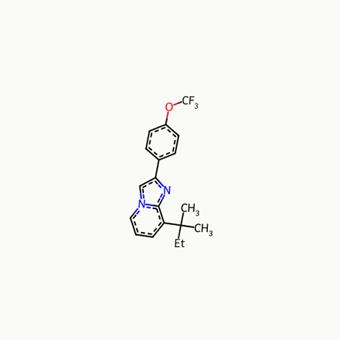 CCC(C)(C)c1cccn2cc(-c3ccc(OC(F)(F)F)cc3)nc12